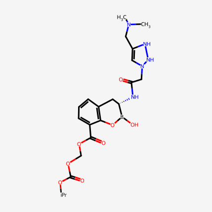 CC(C)OC(=O)OCOC(=O)c1cccc2c1OB(O)[C@@H](NC(=O)CN1C=C(CN(C)C)NN1)C2